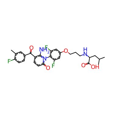 Cc1cc(C(=O)c2ccc(=O)n(-c3c(F)cc(OCCCNC(CC(C)C)C(=O)O)cc3F)c2N)ccc1F